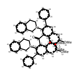 COc1cc2c(C(=O)c3c(N4CCc5ccccc5C4)c(-c4ccccc4)nc4nc(OC)c(OC)cc34)c(N3CCc4ccccc4C3)c(-c3ccccc3)nc2nc1OC